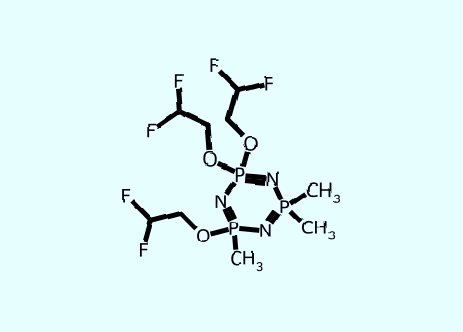 CP1(C)=NP(C)(OCC(F)F)=NP(OCC(F)F)(OCC(F)F)=N1